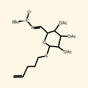 C=CCCCSC1OC(/C=N/[S@+]([O-])C(C)(C)C)C(OC(C)=O)C(OC(C)=O)C1OC(C)=O